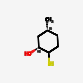 C[C@@H]1CCC(S)[C@H](O)C1